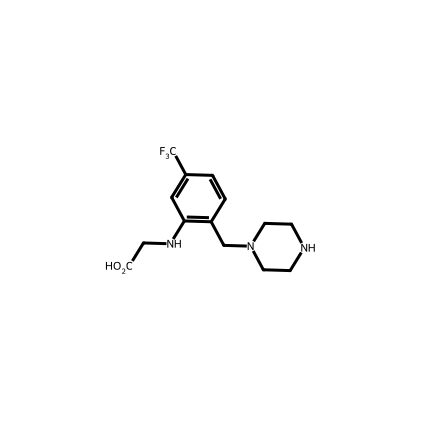 O=C(O)CNc1cc(C(F)(F)F)ccc1CN1CCNCC1